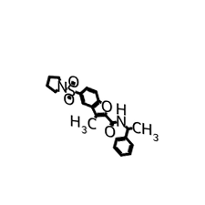 Cc1c(C(=O)NC(C)c2ccccc2)oc2ccc(S(=O)(=O)N3CCCC3)cc12